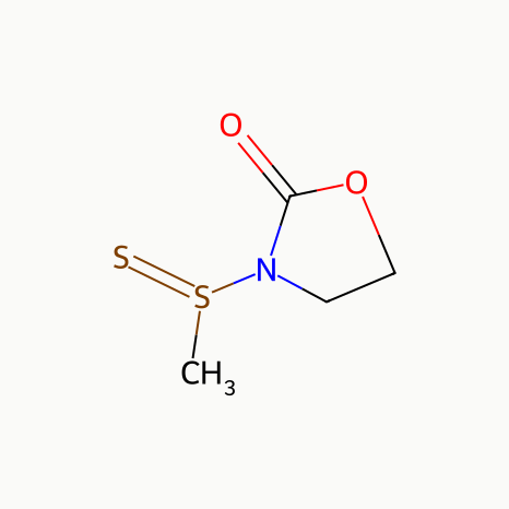 CS(=S)N1CCOC1=O